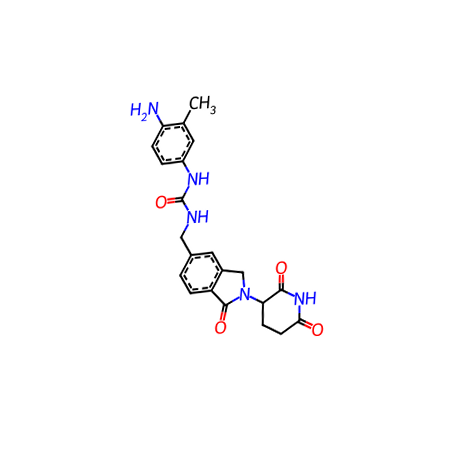 Cc1cc(NC(=O)NCc2ccc3c(c2)CN(C2CCC(=O)NC2=O)C3=O)ccc1N